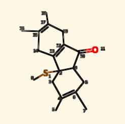 CSC12CC(C)=C(C)CC1C(=O)C1=C2CC(C)=C(C)C1